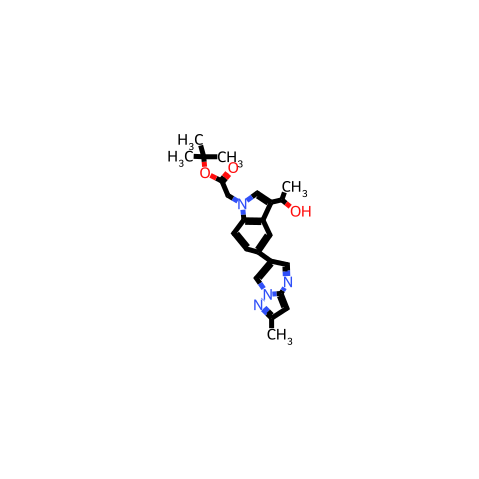 Cc1cc2ncc(-c3ccc4c(c3)c(C(C)O)cn4CC(=O)OC(C)(C)C)cn2n1